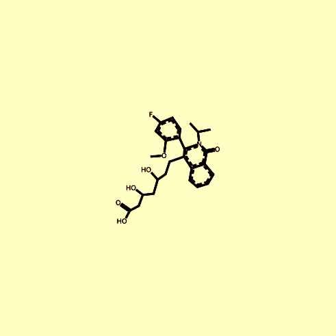 COc1cc(F)ccc1-c1c(CCC(O)CC(O)CC(=O)O)c2ccccc2c(=O)n1C(C)C